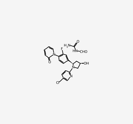 NC(=O)NC=O.O=c1ccccn1-c1ccc([C@H]2C[C@@H](O)CN2c2ccc(Cl)cn2)cc1F